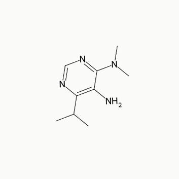 CC(C)c1ncnc(N(C)C)c1N